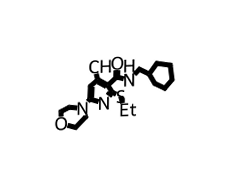 CCSc1nc(N2CCOCC2)cc(C)c1C(=O)NCC1CCCCC1